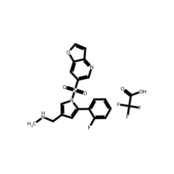 CNCc1cc(-c2ccccc2F)n(S(=O)(=O)c2cnc3ccoc3c2)c1.O=C(O)C(F)(F)F